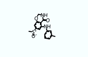 Cc1cccc(Nc2cc([S+](C)[O-])cc3c2C(=O)NCO3)c1